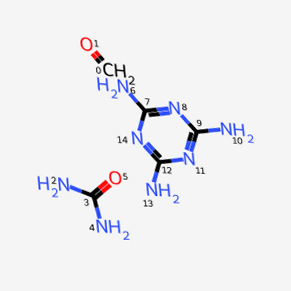 C=O.NC(N)=O.Nc1nc(N)nc(N)n1